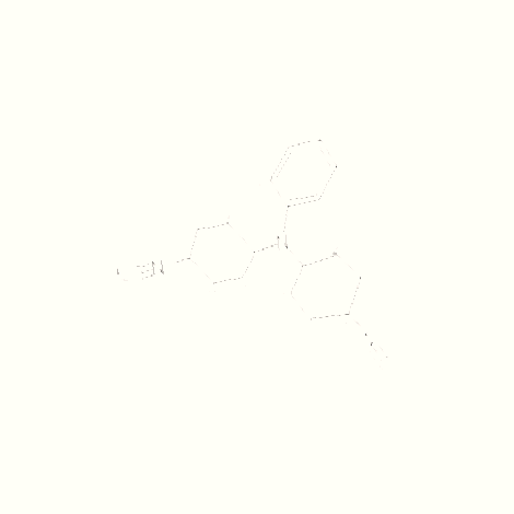 [C-]#[N+]C1CCC(N(c2ccccc2)C2CCC([N+]#[C-])CC2)CC1